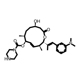 C/C(=C\c1cccc(N(C)C)c1)[C@H]1OC(=O)C[C@H](O)CC[C@H](C)[C@H](OC(=O)N2CCNCC2)/C=C/[C@@H]1C